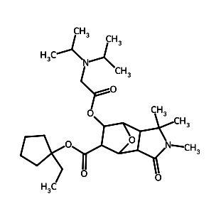 CCC1(OC(=O)C2C(OC(=O)CN(C(C)C)C(C)C)C3OC2C2C(=O)N(C)C(C)(C)C32)CCCC1